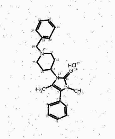 Cc1c(-c2ccccc2)n(C)c(=O)n1C1CCN(Cc2ccccc2)CC1.Cl